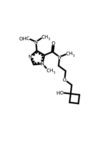 CN(CCOCC1(O)CCC1)C(=O)c1c(N(C)C=O)ncn1C